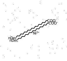 CCCCCCCCCCCCCCCCCCCCCCCCCCCC(=O)[O-].CCCCCCCCCCCCCCCCCCCCCCCCCCCC(=O)[O-].[Ni+2]